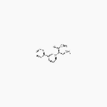 COC(=O)C(CN)c1cccc(-c2ccccc2)c1